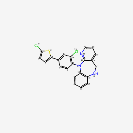 Clc1ccc(-c2ccc(N3c4[c]cccc4NCc4cccnc43)c(Cl)c2)s1